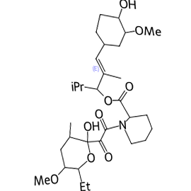 CCC1OC(O)(C(=O)C(=O)N2CCCCC2C(=O)OC(/C(C)=C/C2CCC(O)C(OC)C2)C(C)C)C(C)CC1OC